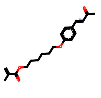 C=C(C)C(=O)OCCCCCCOc1ccc(/C=C/C(C)=O)cc1